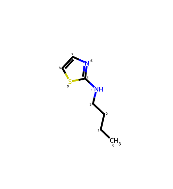 CCCCNc1nccs1